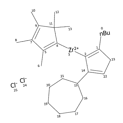 CCCCC1=[C]([Zr+2][C]2=C(C)C(C)=C(C)C2(C)C)C(C2CCCCCC2)=CC1.[Cl-].[Cl-]